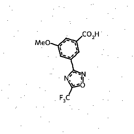 COc1cc(C(=O)O)cc(-c2noc(C(F)(F)F)n2)c1